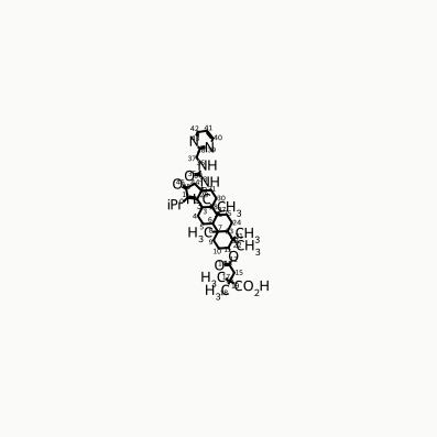 CC(C)C1=C2C3CCC4C5(C)CC[C@H](OC(=O)CC(C)(C)C(=O)O)C(C)(C)C5CCC4(C)[C@]3(C)CC[C@@]2(NC(=O)NCc2ncccn2)CC1=O